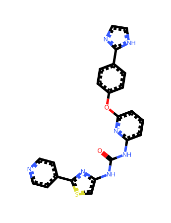 O=C(Nc1cccc(Oc2ccc(-c3ncc[nH]3)cc2)n1)Nc1csc(-c2ccncc2)n1